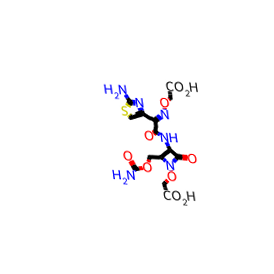 NC(=O)OCC1C(NC(=O)/C(=N/OCC(=O)O)c2csc(N)n2)C(=O)N1OCC(=O)O